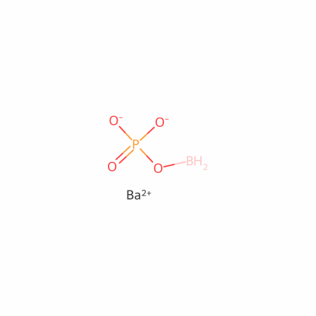 BOP(=O)([O-])[O-].[Ba+2]